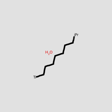 CC(C)CCCCCC[CH2][Ti].O